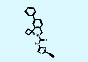 C#Cc1nc(NC(=O)NCc2ccc(-c3ccccc3)cc2C2(O)CCC2)cs1